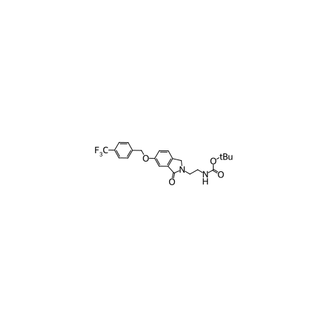 CC(C)(C)OC(=O)NCCN1Cc2ccc(OCc3ccc(C(F)(F)F)cc3)cc2C1=O